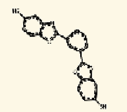 Sc1ccc2oc(-c3cccc(-c4nc5cc(S)ccc5o4)c3)nc2c1